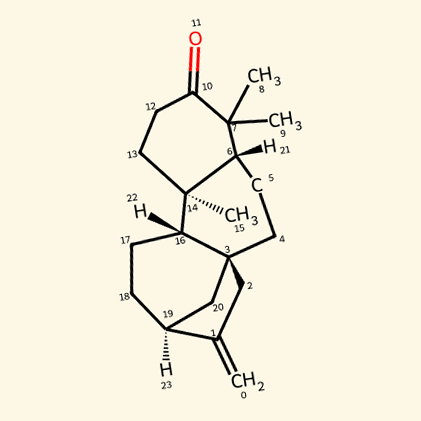 C=C1C[C@]23CC[C@H]4C(C)(C)C(=O)CC[C@]4(C)[C@H]2CC[C@H]1C3